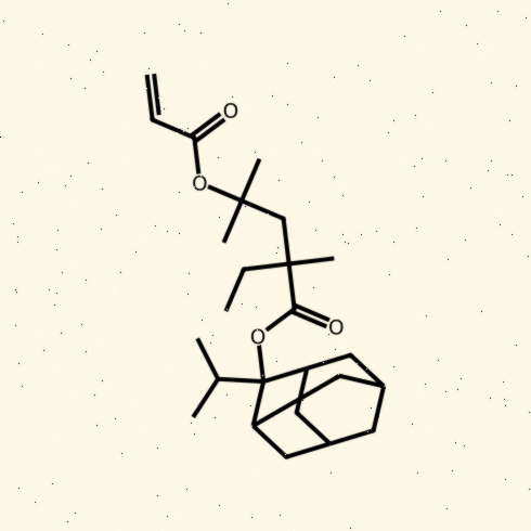 C=CC(=O)OC(C)(C)CC(C)(CC)C(=O)OC1(C(C)C)C2CC3CC(C2)CC1C3